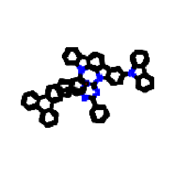 c1ccc(-c2nc(-c3ccccc3)nc(-n3c4ccc(-n5c6ccccc6c6ccccc65)cc4c4ccc5c6ccccc6n(-c6cccc(-c7ccc8c9ccccc9c9ccccc9c8c7)c6)c5c43)n2)cc1